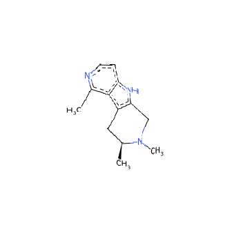 Cc1nccc2[nH]c3c(c12)C[C@H](C)N(C)C3